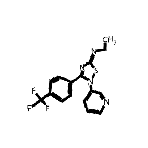 CCN=c1nc(-c2ccc(C(F)(F)F)cc2)n(-c2cccnc2)s1